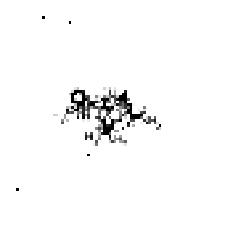 COC(=O)C1(NC(=O)N[C@H](C(=O)N2C[C@H]3[C@@H]([C@H]2C(=O)NC(CC2CC2)C(=O)C(N)=O)C3(C)C)C(C)(C)C)CCCCC1